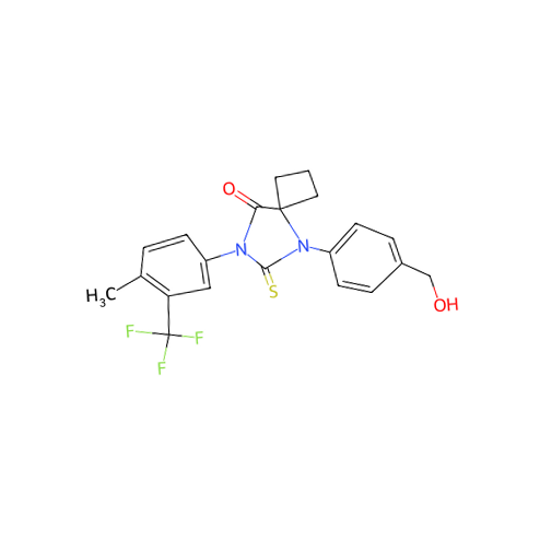 Cc1ccc(N2C(=O)C3(CCC3)N(c3ccc(CO)cc3)C2=S)cc1C(F)(F)F